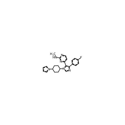 CNc1nccc(-c2c(-c3ccc(F)cc3)ncn2C2CCC(n3cccc3)CC2)n1